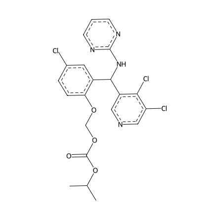 CC(C)OC(=O)OCOc1ccc(Cl)cc1C(Nc1ncccn1)c1cncc(Cl)c1Cl